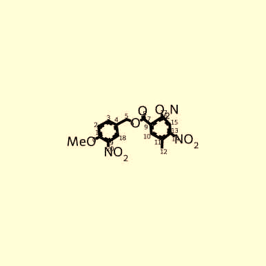 COc1ccc(COC(=O)c2cc(C)c([N+](=O)[O-])cc2[N+](=O)[O-])cc1[N+](=O)[O-]